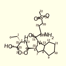 CC[C@H](NC(=O)[C@@H]1CC2CCCCC2N1C(=O)[C@@H](N)CCS(C)(=O)=O)C(=O)O